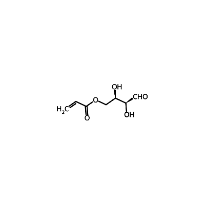 C=CC(=O)OC[C@@H](O)[C@H](O)C=O